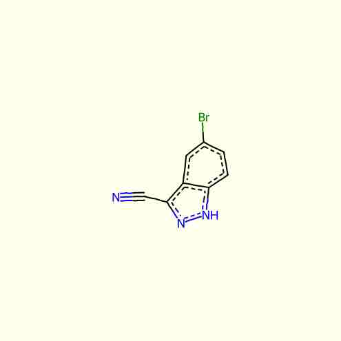 N#Cc1n[nH]c2ccc(Br)cc12